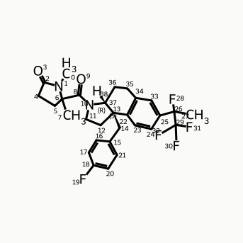 CN1C(=O)CCC1(C)C(=O)N1CC[C@@]2(Cc3ccc(F)cc3)c3ccc(C(C)(F)C(F)(F)F)cc3CC[C@@H]12